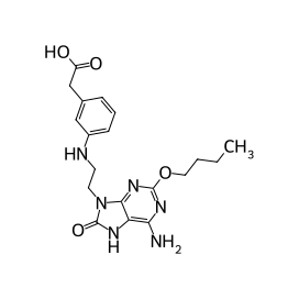 CCCCOc1nc(N)c2[nH]c(=O)n(CCNc3cccc(CC(=O)O)c3)c2n1